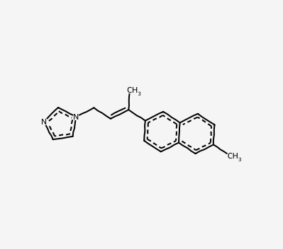 C/C(=C\Cn1ccnc1)c1ccc2cc(C)ccc2c1